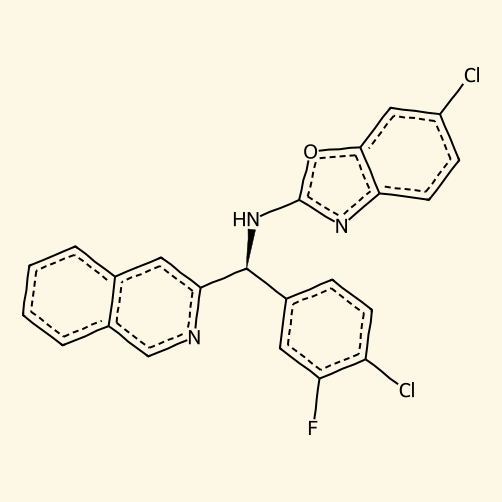 Fc1cc([C@H](Nc2nc3ccc(Cl)cc3o2)c2cc3ccccc3cn2)ccc1Cl